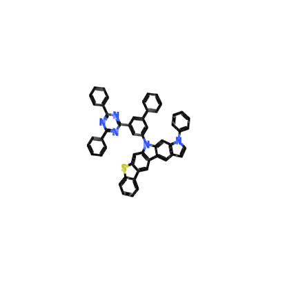 c1ccc(-c2cc(-c3nc(-c4ccccc4)nc(-c4ccccc4)n3)cc(-n3c4cc5sc6ccccc6c5cc4c4cc5ccn(-c6ccccc6)c5cc43)c2)cc1